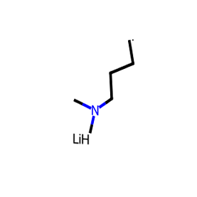 [CH2]CCCN(C)C.[LiH]